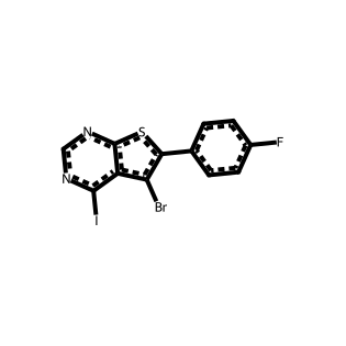 Fc1ccc(-c2sc3ncnc(I)c3c2Br)cc1